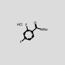 CNC(=O)c1ccc(F)cc1F.Cl